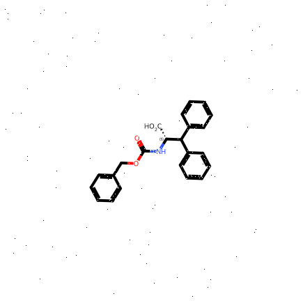 O=C(N[C@H](C(=O)O)C(c1ccccc1)c1ccccc1)OCc1ccccc1